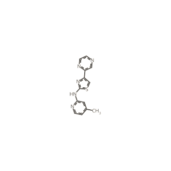 Cc1ccnc(Nc2nc(-c3cnccn3)cs2)c1